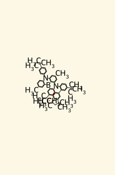 Cc1ccc2c(c1)B1c3cc(C(C)(C)C)ccc3N(c3ccc(C(C)(C)C)cc3-c3ccc4c(c3)C(C)(C)CC4(C)C)c3cc(C)cc(c31)N2c1ccc(C(C)(C)C)cc1